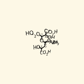 O=C(CC(O)C(=O)O)OC(C(=O)O)C(O)C(=O)O.[AlH3].[Zn]